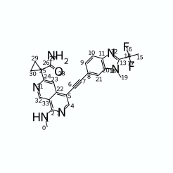 CNc1ncc(C#Cc2ccc3nc(C(C)(F)F)n(C)c3c2)c2cc(C3(C(N)=O)CC3)ncc12